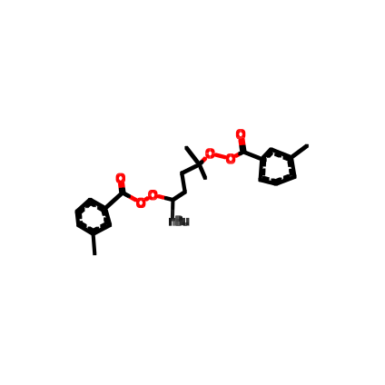 CCCCC(CCC(C)(C)OOC(=O)c1cccc(C)c1)OOC(=O)c1cccc(C)c1